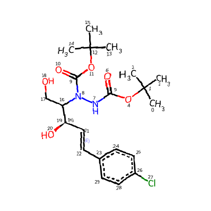 CC(C)(C)OC(=O)NN(C(=O)OC(C)(C)C)C(CO)[C@H](O)/C=C/c1ccc(Cl)cc1